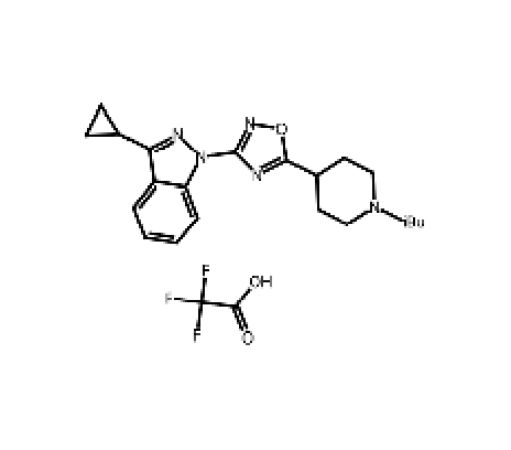 CCC(C)N1CCC(c2nc(-n3nc(C4CC4)c4ccccc43)no2)CC1.O=C(O)C(F)(F)F